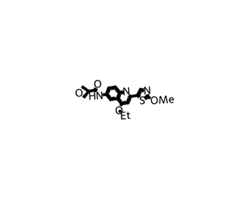 CCOc1cc(-c2cnc(OC)s2)nc2ccc(NC(=O)C3COC3)cc12